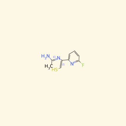 C/C(N)=N\C(=C/S)c1cccc(F)n1